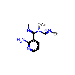 CC/N=C/N(OC(C)=O)C(=NC)c1cccnc1N